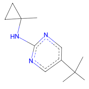 CC1(Nc2ncc(C(C)(C)C)cn2)CC1